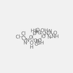 O=c1[nH]cnc2c1ncn2C1OC2COP(=O)(S)OC3C(COP(=O)(S)OC2C1O)OC(n1cnc2cc(Cl)c(Cl)cc21)C3O